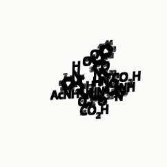 CC(=O)N[C@@H](Cc1c[nH]c2ccccc12)C(=O)N[C@@H](CCC(=O)O)C(=O)N[C@@H](Cc1c[nH]cn1)C(=O)N[C@@H](CC(=O)O)C(=O)NCc1cc2ccccc2oc1=O